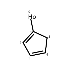 [Ho][C]1=CC=CC1